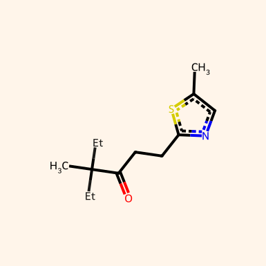 CCC(C)(CC)C(=O)CCc1ncc(C)s1